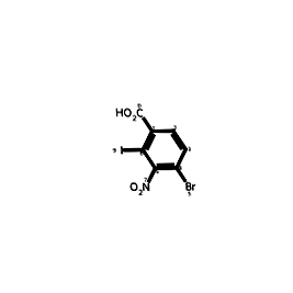 O=C(O)c1ccc(Br)c([N+](=O)[O-])c1I